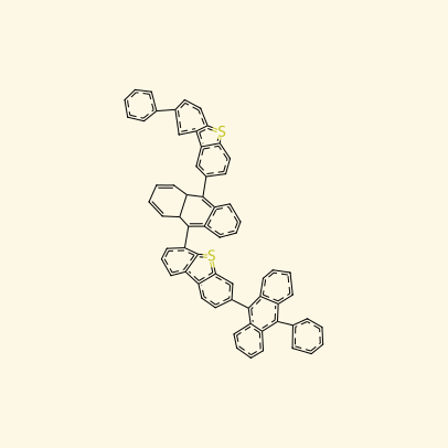 C1=CC2C(c3ccc4sc5ccc(-c6ccccc6)cc5c4c3)=c3ccccc3=C(c3cccc4c3sc3cc(-c5c6ccccc6c(-c6ccccc6)c6ccccc56)ccc34)C2C=C1